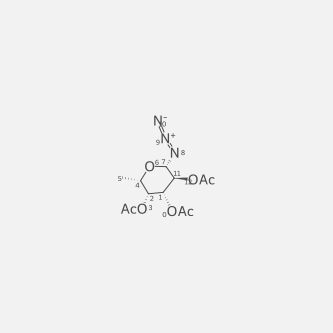 CC(=O)O[C@@H]1[C@H](OC(C)=O)[C@H](C)O[C@H](N=[N+]=[N-])[C@H]1OC(C)=O